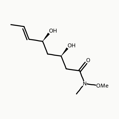 C/C=C/[C@@H](O)C[C@@H](O)CC(=O)N(C)OC